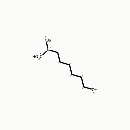 CC(C)(C)N(CCCCCCO)C(=O)O